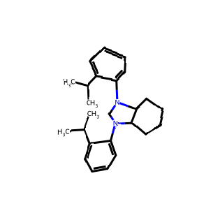 CC(C)c1ccccc1N1CN(c2ccccc2C(C)C)C2CCCCC21